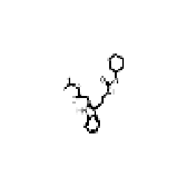 CC(C)OC(=O)Cc1[nH]c2ccccc2c1CCNC(=O)OC1CCCCC1